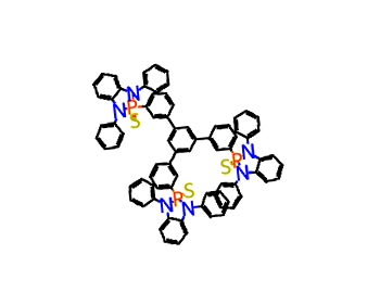 S=P1(c2cccc(-c3cc(-c4cccc(P5(=S)N(c6ccccc6)c6ccccc6N5c5ccccc5)c4)cc(-c4cccc(P5(=S)N(c6ccccc6)c6ccccc6N5c5ccccc5)c4)c3)c2)N(c2ccccc2)c2ccccc2N1c1ccccc1